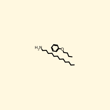 CCCCCCCCCCCCN.CCCCOc1ccccc1